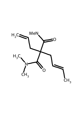 C=CCC(CC=CC)(C(=O)NC)C(=O)N(C)C